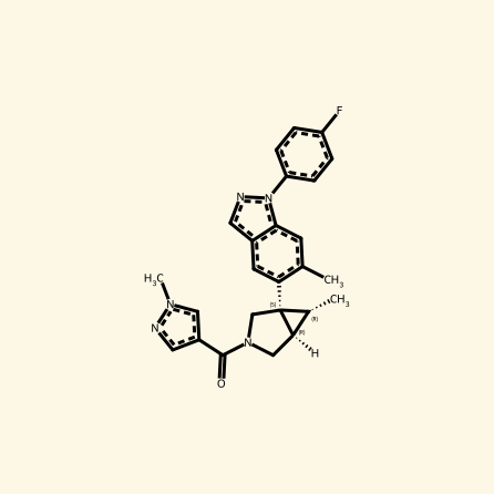 Cc1cc2c(cnn2-c2ccc(F)cc2)cc1[C@@]12CN(C(=O)c3cnn(C)c3)C[C@@H]1[C@H]2C